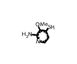 COc1c(S)ccnc1N